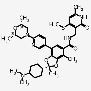 CSc1cc(C)[nH]c(=O)c1CNC(=O)c1cc(-c2ccc(N3C[C@@H](C)O[C@@H](C)C3)nc2)c2c(c1C)OC(C)([C@H]1CC[C@H](N(C)C)CC1)O2